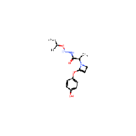 CCCCCCCCCC(CC)ONNC(=O)C(C)N1CC=C1Oc1ccc(O)cc1